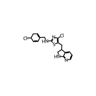 Clc1nc(NCC2=CCC(Cl)C=C2)sc1CC1CNc2ncccc21